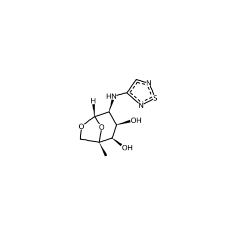 C[C@@]12CO[C@@H](O1)[C@@H](Nc1cnsn1)[C@@H](O)[C@H]2O